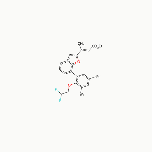 CCOC(=O)/C=C(\C)c1cc2cccc(-c3cc(C(C)C)cc(C(C)C)c3OCC(F)F)c2o1